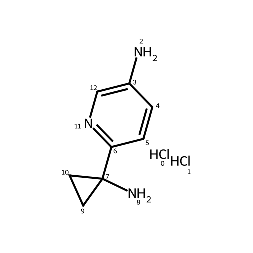 Cl.Cl.Nc1ccc(C2(N)CC2)nc1